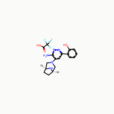 Nc1nnc(-c2ccccc2O)cc1N1C[C@H]2CC[C@@H](C1)N2.O=C(O)C(F)(F)F